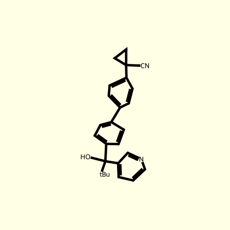 CC(C)(C)C(O)(c1ccc(-c2ccc(C3(C#N)CC3)cc2)cc1)c1cccnc1